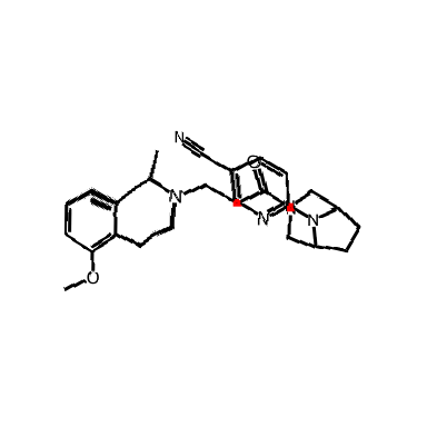 COc1cccc2c1CCN(CCC(=O)N1CC3CCC(C1)N3c1ccc(C#N)cn1)C2C